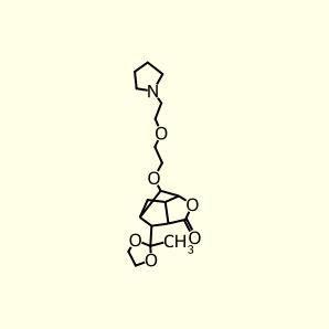 CC1(C2C3CC4C(OC(=O)C42)C3OCCOCCN2CCCC2)OCCO1